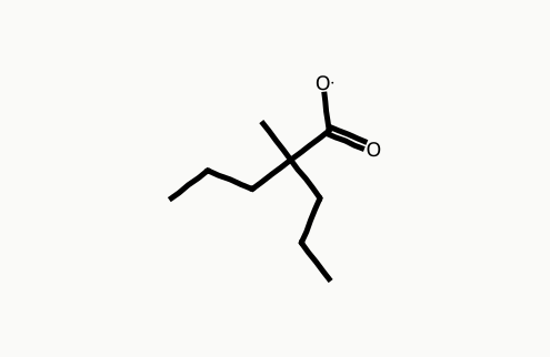 CCCC(C)(CCC)C([O])=O